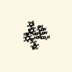 O=C(O)[C@H](O)[C@@H](O)[C@H](O)[C@H](O)CO.c1cc(Nc2nccc(-c3cccs3)n2)cc(OCCn2ccnc2)c1